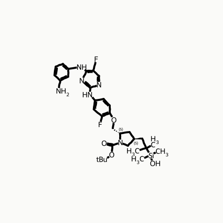 CC(C)(C)OC(=O)N1C[C@H](CC(C)(C)[Si](C)(C)O)C[C@H]1COc1ccc(Nc2ncc(F)c(Nc3cccc(N)c3)n2)cc1F